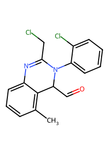 Cc1cccc2c1C(C=O)N(c1ccccc1Cl)C(CCl)=N2